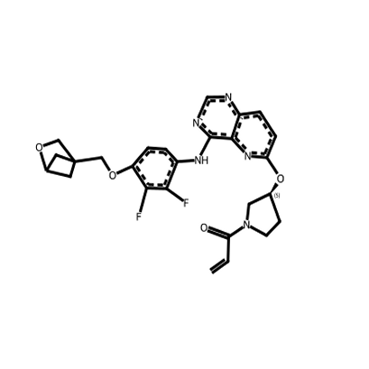 C=CC(=O)N1CC[C@H](Oc2ccc3ncnc(Nc4ccc(OCC56COC(C5)C6)c(F)c4F)c3n2)C1